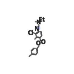 CCN(C)/C=N/c1ccc(C(=O)OCc2ccc(C)cc2)c(C)c1Cl